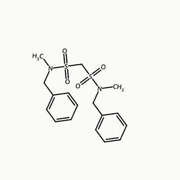 CN(Cc1ccccc1)S(=O)(=O)CS(=O)(=O)N(C)Cc1ccccc1